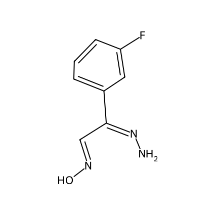 NN=C(C=NO)c1cccc(F)c1